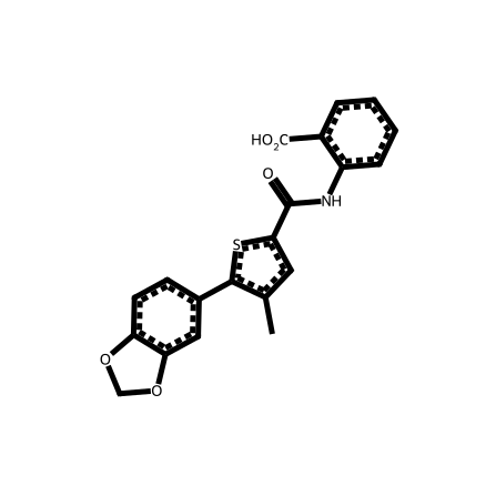 Cc1cc(C(=O)Nc2ccccc2C(=O)O)sc1-c1ccc2c(c1)OCO2